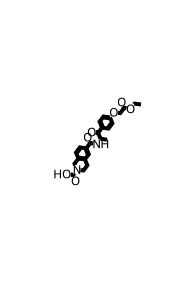 CCOC(=O)COc1ccc(C(=O)C(C)NC(=O)c2ccc3c(c2)CCN(C(=O)O)C3)cc1